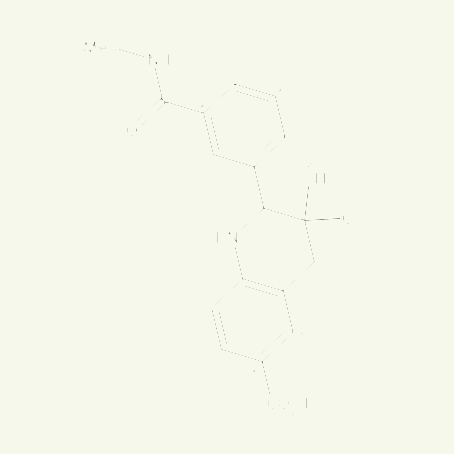 CSNC(=O)c1cccc(C2Nc3ccc(C(=O)O)cc3CC2(C)C)c1